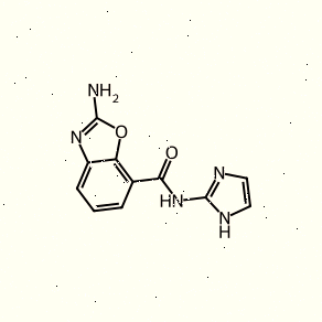 Nc1nc2cccc(C(=O)Nc3ncc[nH]3)c2o1